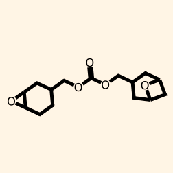 O=C(OCC1CC2CC(C1)O2)OCC1CCC2OC2C1